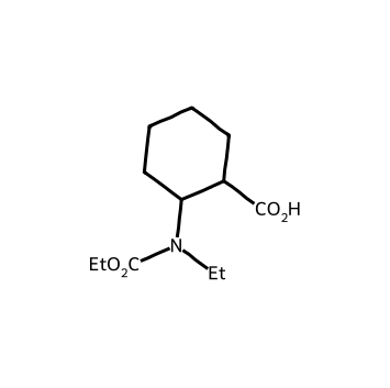 CCOC(=O)N(CC)C1CCCCC1C(=O)O